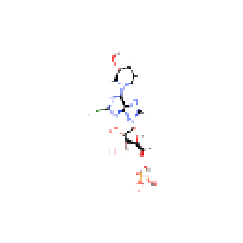 COC1CCCN(c2nc(Cl)nc3c2ncn3[C@@H]2OC(=COCP(=O)(O)O)[C@@H](O)[C@H]2O)C1